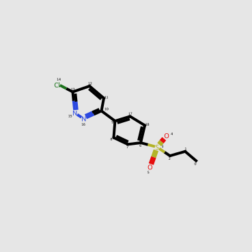 CCCS(=O)(=O)c1ccc(-c2ccc(Cl)nn2)cc1